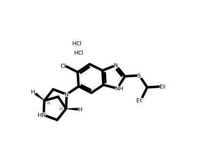 CCC(CC)Sc1nc2cc(Cl)c(N3C[C@@H]4C[C@H]3CN4)cc2[nH]1.Cl.Cl